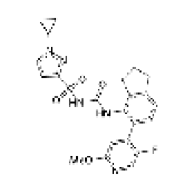 COc1cc(-c2ccc3c(c2NC(=O)NS(=O)(=O)c2ccn(C4CC4)n2)CCC3)c(F)cn1